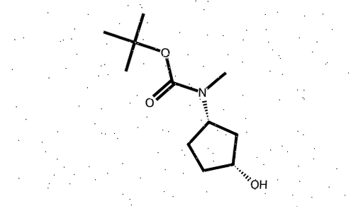 CN(C(=O)OC(C)(C)C)[C@H]1CC[C@@H](O)C1